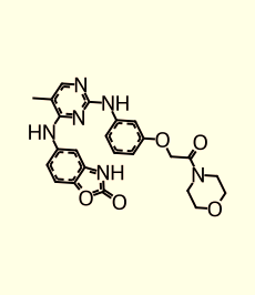 Cc1cnc(Nc2cccc(OCC(=O)N3CCOCC3)c2)nc1Nc1ccc2oc(=O)[nH]c2c1